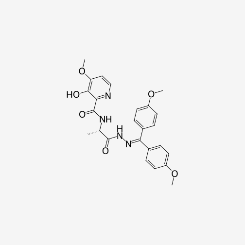 COc1ccc(C(=NNC(=O)[C@H](C)NC(=O)c2nccc(OC)c2O)c2ccc(OC)cc2)cc1